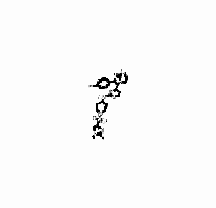 Cc1nc(S(=O)(=O)N2CCC(Nc3nccc(-c4c(-c5ccc(F)cc5)nc5occn45)n3)CC2)cn1C